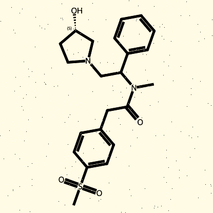 CN(C(=O)Cc1ccc(S(C)(=O)=O)cc1)C(CN1CC[C@H](O)C1)c1ccccc1